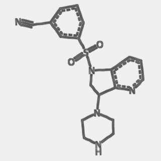 N#Cc1cccc(S(=O)(=O)N2CC(N3CCNCC3)c3ncccc32)c1